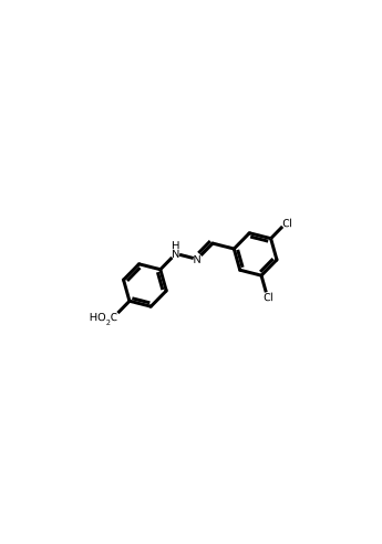 O=C(O)c1ccc(N/N=C/c2cc(Cl)cc(Cl)c2)cc1